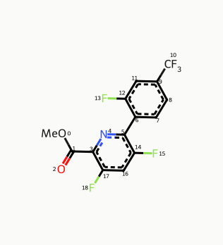 COC(=O)c1nc(-c2ccc(C(F)(F)F)cc2F)c(F)cc1F